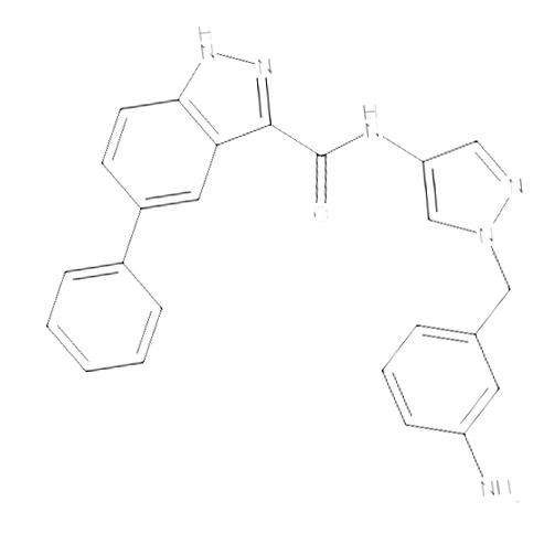 Nc1cccc(Cn2cc(NC(=O)c3n[nH]c4ccc(-c5ccccc5)cc34)cn2)c1